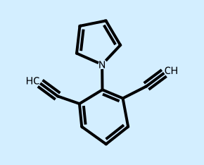 C#Cc1cccc(C#C)c1-n1cccc1